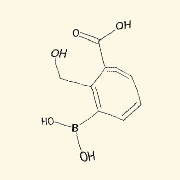 O=C(O)c1cccc(B(O)O)c1CO